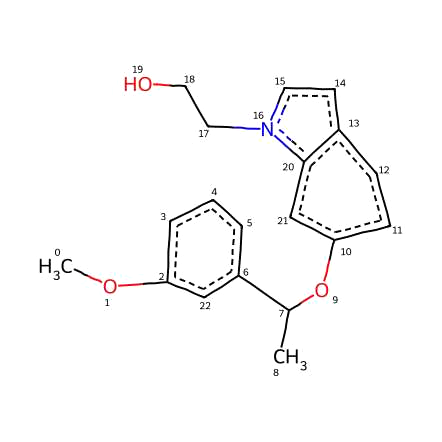 COc1cccc(C(C)Oc2ccc3ccn(CCO)c3c2)c1